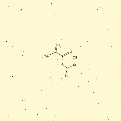 C=C(C)C(=O)OC(CC)NC#N